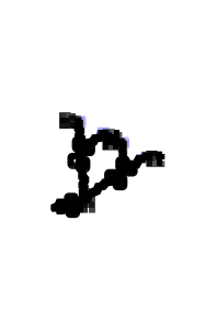 CC/C=C\CCCCOC(CCC(=O)OCCCCCCCN(CCCCCCCOC(=O)CCC(OCCCC/C=C\CC)OCCCC/C=C\CC)CCNS(=O)(=O)c1ccc(C)cc1)OCCCC/C=C\CC